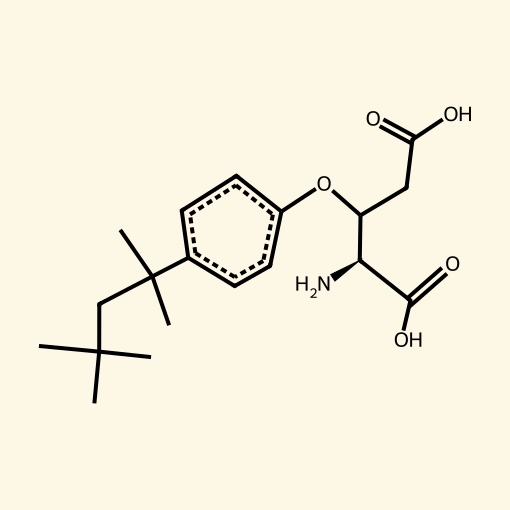 CC(C)(C)CC(C)(C)c1ccc(OC(CC(=O)O)[C@H](N)C(=O)O)cc1